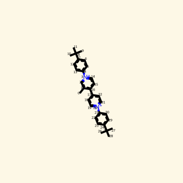 Cc1c[n+](-c2ccc(C(C)(C)C)cc2)ccc1-c1cc[n+](-c2ccc(C(C)(C)C)cc2)cc1